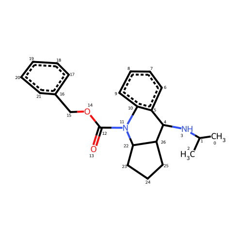 CC(C)NC1c2ccccc2N(C(=O)OCc2ccccc2)C2CCCC12